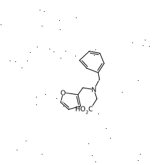 O=C(O)CN(Cc1ccccc1)Cc1ccco1